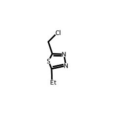 CCc1nnc(CCl)s1